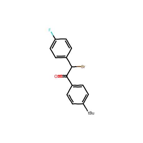 CC(C)(C)c1ccc(C(=O)C(Br)c2ccc(F)cc2)cc1